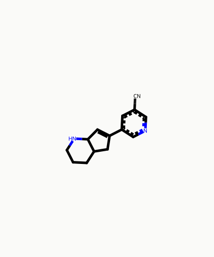 N#Cc1cncc(C2=CC3NCCCC3C2)c1